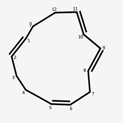 [CH]1/C=C/CC/C=C\C/C=C/C=C/C1